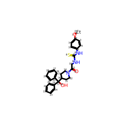 CCOc1ccc(NC(=S)NCC(=O)N2CCC(C(O)(c3ccccc3)c3ccccc3)CC2)cc1